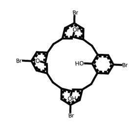 Oc1c2cc(Br)cc1Cc1cc(Br)cc(c1O)Cc1cc(Br)cc(c1O)Cc1cc(Br)cc(c1O)C2